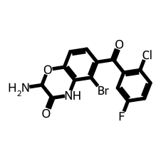 NC1Oc2ccc(C(=O)c3cc(F)ccc3Cl)c(Br)c2NC1=O